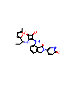 CCC(Nc1c(Nc2cccc3c2C(=O)N(c2ccc(=O)[nH]c2)C3)c(=O)c1=O)c1ccc(C)o1